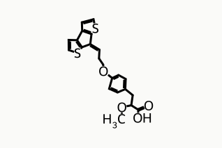 COC(Cc1ccc(OCCC=C2c3sccc3-c3ccsc32)cc1)C(=O)O